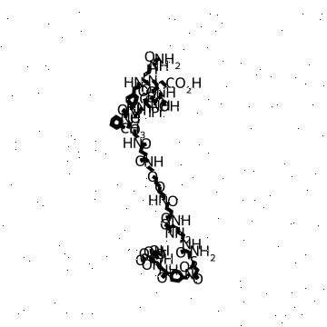 Cc1ccccc1NC(=O)Nc1ccc(CC(=O)N[C@@H](CCCNC(N)=O)C(=O)N[C@@H](CCC(=O)O)C(=O)N[C@@H](CO)C(=O)N[C@H](C(=O)NCCOCCOCCNC(=O)CCC(=O)NCCOCCOCCNC(=O)CCC(=O)N[C@@H](CCCCNC(=O)[C@H](N)CSC2CC(=O)N(CC3CCC(C(=O)NCCCC(O)(P(=O)(O)O)P(=O)(O)O)CC3)C2=O)C(N)=O)C(C)C)cc1